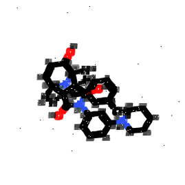 Cc1cccc(CN2[C@@H]3C(=O)C=C[C@H]2[C@@H]2C(=O)N(c4cccc(N5CCCCC5)c4)C(=O)[C@@H]23)c1